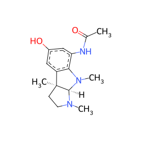 CC(=O)Nc1cc(O)cc2c1N(C)[C@H]1N(C)CC[C@@]21C